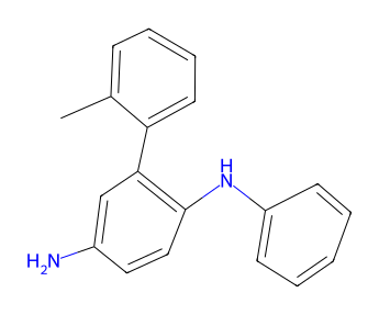 Cc1ccccc1-c1cc(N)ccc1Nc1ccccc1